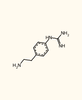 N=C(N)Nc1ccc(CCN)cc1